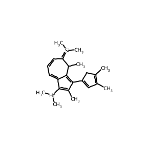 CC1=C(C)CC(C2=C3C(=CC=CC(=[Si](C)C)C3C)[C]([Hf]([CH3])[CH3])=C2C)=C1